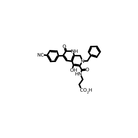 N#Cc1ccc(-c2cc3c([nH]c2=O)CN(Cc2ccccc2)C(C(=O)NCCC(=O)O)=C3O)cc1